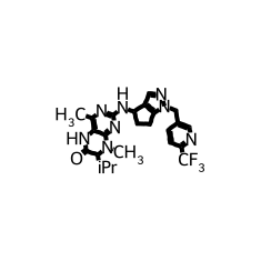 Cc1nc(NC2CCc3c2cnn3Cc2ccc(C(F)(F)F)nc2)nc2c1NC(=O)C(C(C)C)N2C